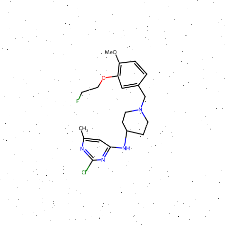 COc1ccc(CN2CCC(Nc3cc(C)nc(Cl)n3)CC2)cc1OCCF